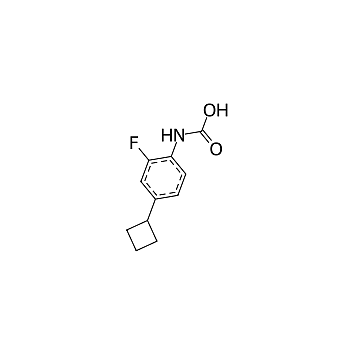 O=C(O)Nc1ccc(C2CCC2)cc1F